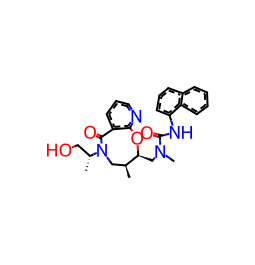 C[C@H](CO)N1C[C@H](C)[C@H](CN(C)C(=O)Nc2cccc3ccccc23)Oc2ncccc2C1=O